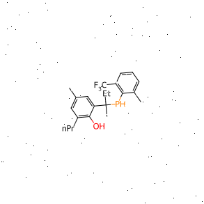 CCCc1cc(C)cc(C(C)(CC)Pc2c(C)cccc2C(F)(F)F)c1O